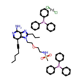 CCCCC#Cc1cnc(N)c2nc(CCC)n(CCOCCNS(C)(=O)=O)c12.[Cl][Pd][Cl].c1ccc(P(c2ccccc2)c2ccccc2)cc1.c1ccc(P(c2ccccc2)c2ccccc2)cc1